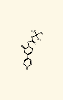 CC(C)(C)OC(=O)ON1CC=C(C2=CCNC=C2)CC1=O